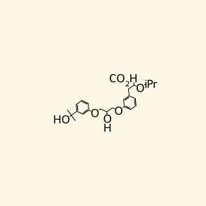 CC(C)O[C@@H](Cc1cccc(OC[C@@H](O)COc2cccc(C(C)(C)O)c2)c1)C(=O)O